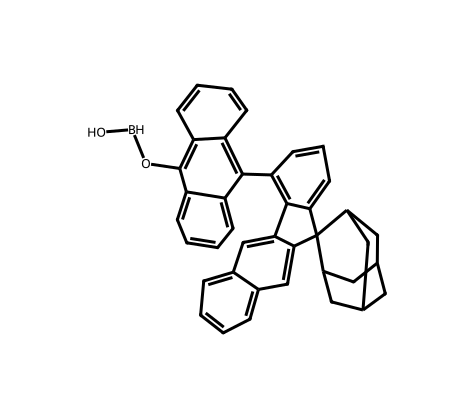 OBOc1c2ccccc2c(-c2cccc3c2-c2cc4ccccc4cc2C32C3CC4CC(C3)CC2C4)c2ccccc12